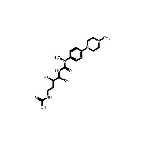 CN1CCN(c2ccc(N(C)C(=O)NC(S)C(S)CCNC(=O)O)cc2)CC1